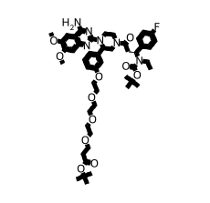 CCN(C(=O)OC(C)(C)C)[C@H](CC(=O)N1CCN(c2nc(N)c3cc(OC)c(OC)cc3n2)C(c2cccc(OCCOCCOCCOCCC(=O)OC(C)(C)C)c2)C1)c1ccc(F)cc1